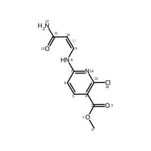 COC(=O)c1ccc(N/C=C\C(N)=O)nc1Cl